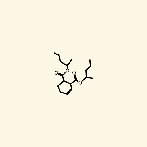 CCCC(C)OC(=O)C1C=CCCC1C(=O)OC(C)CCC